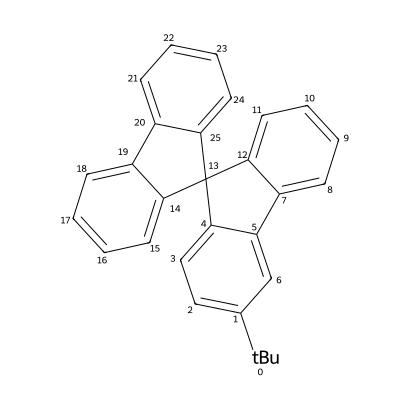 CC(C)(C)c1ccc2c(c1)-c1ccccc1C21c2ccccc2-c2ccccc21